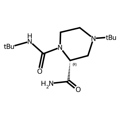 CC(C)(C)NC(=O)N1CCN(C(C)(C)C)C[C@@H]1C(N)=O